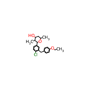 CCOc1ccc(Cc2cc(C3OC(C)CC(O)C3C)ccc2Cl)cc1